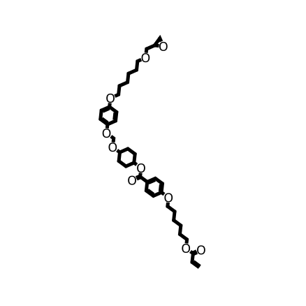 C=CC(=O)OCCCCCCOc1ccc(C(=O)OC2CCC(OCOc3ccc(OCCCCCCOCC4CO4)cc3)CC2)cc1